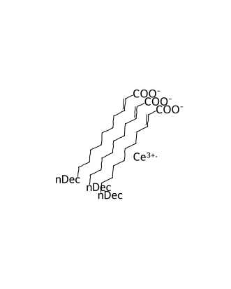 CCCCCCCCCCCCCCCCCC=CC(=O)[O-].CCCCCCCCCCCCCCCCCC=CC(=O)[O-].CCCCCCCCCCCCCCCCCC=CC(=O)[O-].[Ce+3]